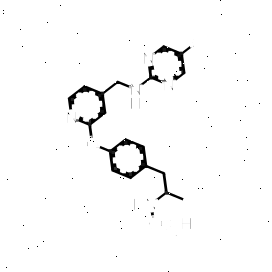 CC(Cc1ccc(Oc2cc(CNc3ncc(Cl)cn3)ccn2)cc1)NC(=O)O